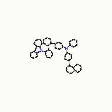 c1ccc(N(c2ccc(-c3ccccc3-c3ccccc3-n3c4ccccc4c4ccccc43)cc2)c2ccc(-c3cccc4ccccc34)cc2)cc1